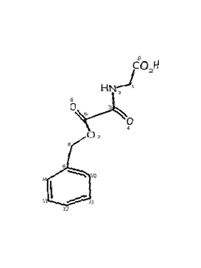 O=C(O)CNC(=O)C(=O)OCc1ccccc1